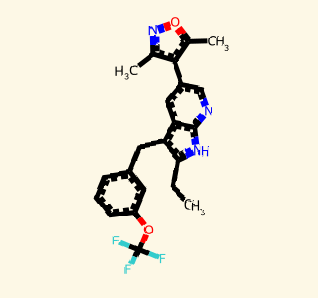 CCc1[nH]c2ncc(-c3c(C)noc3C)cc2c1Cc1cccc(OC(F)(F)F)c1